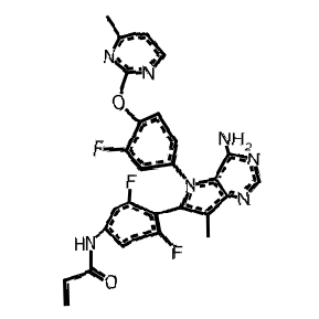 C=CC(=O)Nc1cc(F)c(-c2c(C)c3ncnc(N)c3n2-c2ccc(Oc3nccc(C)n3)c(F)c2)c(F)c1